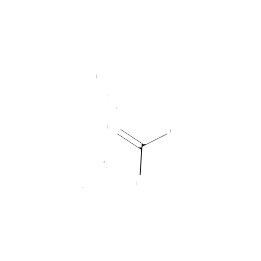 O=C(Cl)Cl.[Al+3].[Cl-].[Cl-].[Cl-]